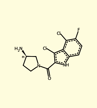 N[C@@H]1CCN(C(=O)c2[nH]c3ccc(F)c(Cl)c3c2Cl)C1